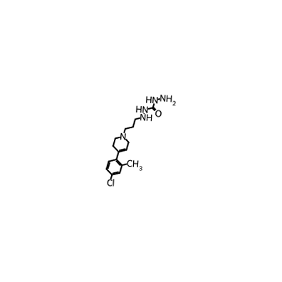 Cc1cc(Cl)ccc1C1=CCN(CCCNNC(=O)NN)CC1